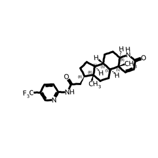 C[C@]12C=CC(=O)N[C@@H]1CC[C@@H]1[C@@H]2CC[C@]2(C)[C@@H](CC(=O)Nc3ccc(C(F)(F)F)cn3)CC[C@@H]12